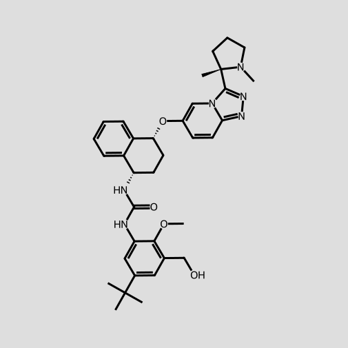 COc1c(CO)cc(C(C)(C)C)cc1NC(=O)N[C@H]1CC[C@@H](Oc2ccc3nnc([C@]4(C)CCCN4C)n3c2)c2ccccc21